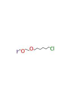 ClCCCCCCOCCOCI